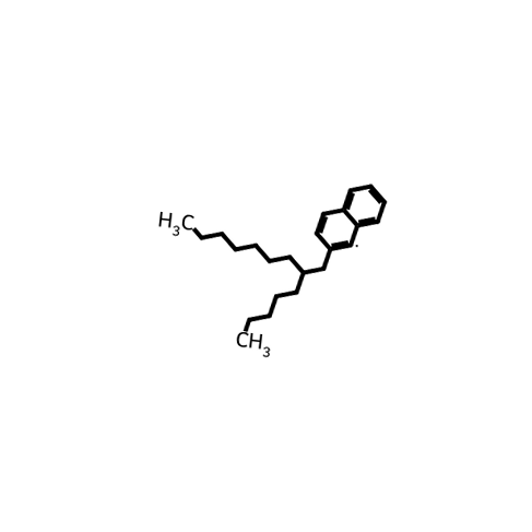 CCCCCCCC(CCCCC)Cc1[c]c2ccccc2cc1